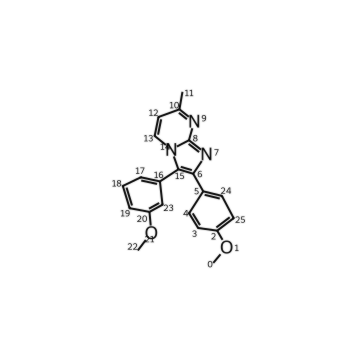 COc1ccc(-c2nc3nc(C)ccn3c2-c2cccc(OC)c2)cc1